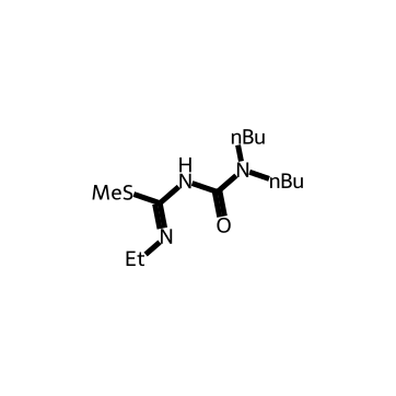 CCCCN(CCCC)C(=O)NC(=NCC)SC